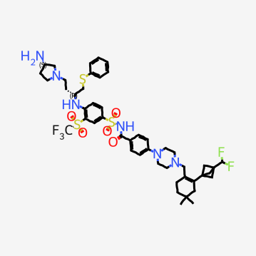 CC1(C)CCC(CN2CCN(c3ccc(C(=O)NS(=O)(=O)c4ccc(N[C@H](CCN5CC[C@H](N)C5)CSc5ccccc5)c(S(=O)(=O)C(F)(F)F)c4)cc3)CC2)=C(C23CC(C(F)F)(C2)C3)C1